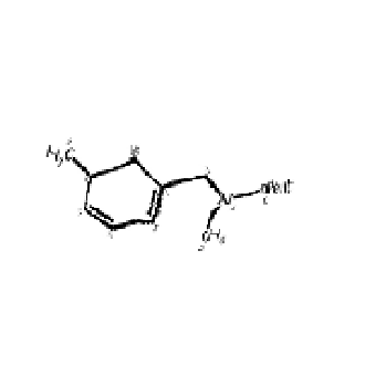 CCCCCN(C)CC1=CC=CC(C)C1